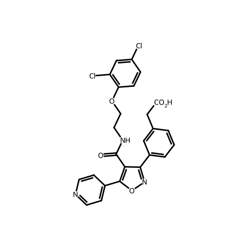 O=C(O)Cc1cccc(-c2noc(-c3ccncc3)c2C(=O)NCCOc2ccc(Cl)cc2Cl)c1